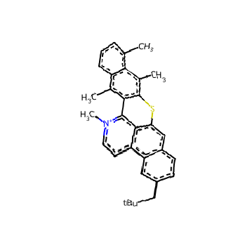 Cc1c2c(c(C)c3c(C)cccc13)Sc1cc3ccc(CC(C)(C)C)cc3c3cc[n+](C)c-2c13